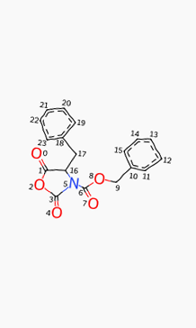 O=C1OC(=O)N(C(=O)OCc2ccccc2)C1Cc1ccccc1